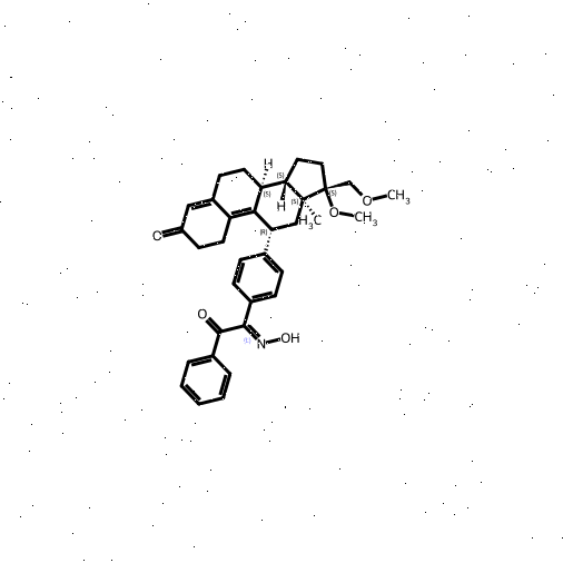 COC[C@]1(OC)CC[C@H]2[C@@H]3CCC4=CC(=O)CCC4=C3[C@@H](c3ccc(/C(=N\O)C(=O)c4ccccc4)cc3)C[C@@]21C